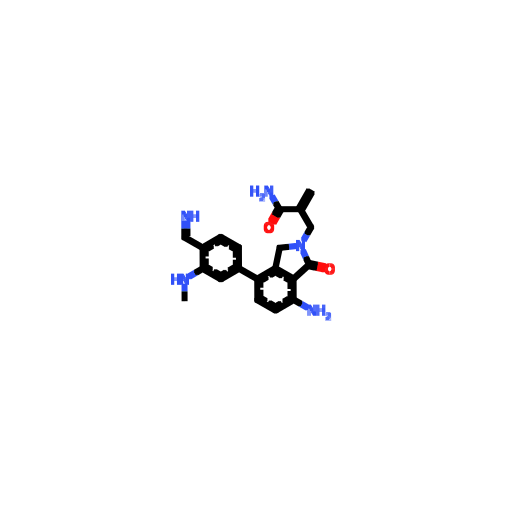 C=C(CN1Cc2c(-c3ccc(C=N)c(NC)c3)ccc(N)c2C1=O)C(N)=O